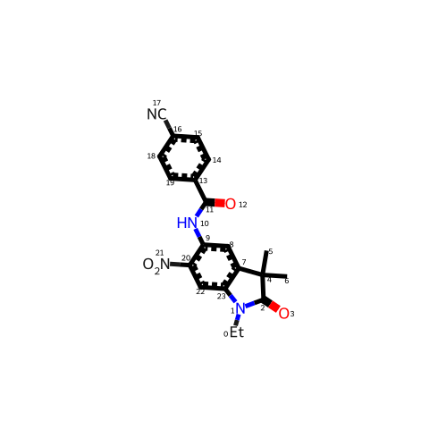 CCN1C(=O)C(C)(C)c2cc(NC(=O)c3ccc(C#N)cc3)c([N+](=O)[O-])cc21